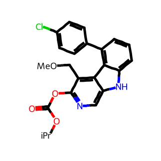 COCc1c(OC(=O)OC(C)C)ncc2[nH]c3cccc(-c4ccc(Cl)cc4)c3c12